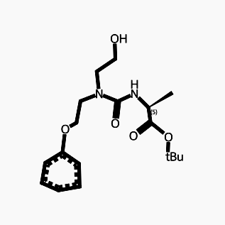 C[C@H](NC(=O)N(CCO)CCOc1ccccc1)C(=O)OC(C)(C)C